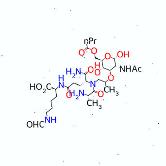 CCCC(=O)OC[C@H]1O[C@H](O)[C@H](NC(C)=O)[C@@H](OC(C)CN(C(=O)[C@H](C)N)[C@H](CCC(=O)N[C@@H](CCCCNC=O)C(=O)O)C(N)=O)[C@@H]1O